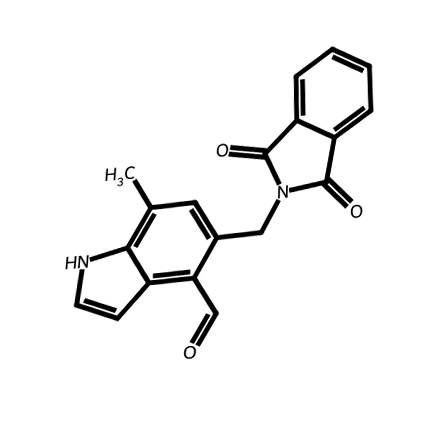 Cc1cc(CN2C(=O)c3ccccc3C2=O)c(C=O)c2cc[nH]c12